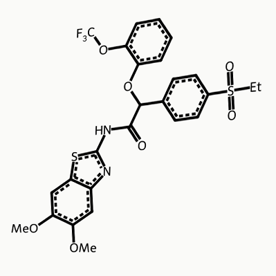 CCS(=O)(=O)c1ccc(C(Oc2ccccc2OC(F)(F)F)C(=O)Nc2nc3cc(OC)c(OC)cc3s2)cc1